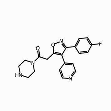 O=C(Cc1onc(-c2ccc(F)cc2)c1-c1ccncc1)N1CCNCC1